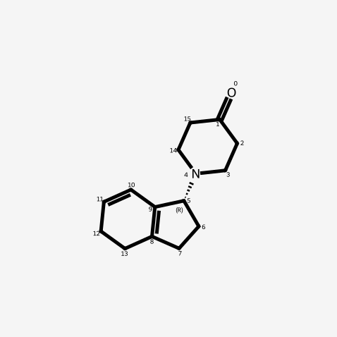 O=C1CCN([C@@H]2CCC3=C2C=CCC3)CC1